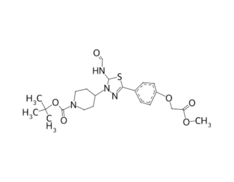 COC(=O)COc1ccc(C2=NN(C3CCN(C(=O)OC(C)(C)C)CC3)C(NC=O)S2)cc1